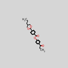 C=CC(=O)c1ccc(OC(=O)c2ccc(C3OCC(CCC)CO3)cc2)cc1